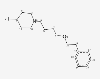 IC1CCN(CCCCOCCc2ccccc2)CC1